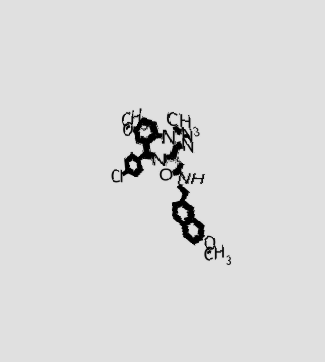 COc1ccc2c(c1)C(c1ccc(Cl)cc1)=N[C@@H](CC(=O)NCCc1ccc3ccc(OC)cc3c1)c1nnc(C)n1-2